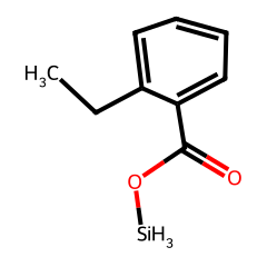 CCc1ccccc1C(=O)O[SiH3]